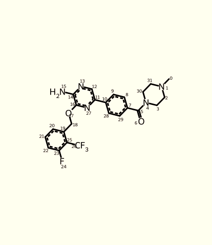 CN1CCN(C(=O)c2ccc(-c3cnc(N)c(OCc4cccc(F)c4C(F)(F)F)n3)cc2)CC1